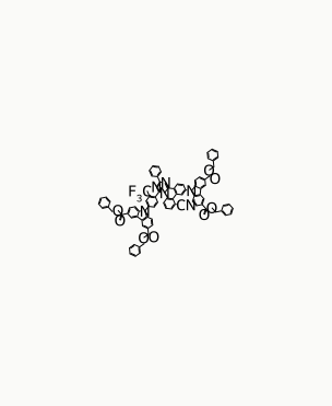 N#Cc1ccccc1-c1cc(-n2c3ccc(C(=O)OCc4ccccc4)cc3c3cc(C(=O)OCc4ccccc4)ccc32)ccc1-c1nc(-c2ccccc2)nc(-c2ccc(-n3c4ccc(C(=O)OCc5ccccc5)cc4c4cc(C(=O)OCc5ccccc5)ccc43)cc2C(F)(F)F)n1